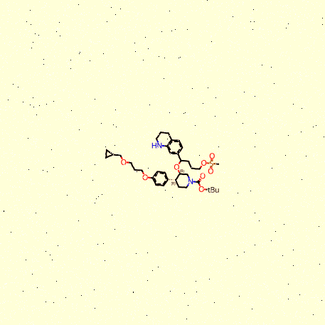 CC(C)(C)OC(=O)N1CC[C@H](c2ccc(OCCCOCC3CC3)cc2)[C@@H](OC(CCCOS(C)(=O)=O)c2ccc3c(c2)NCCC3)C1